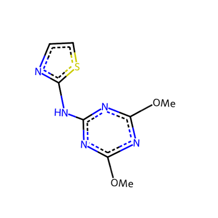 COc1nc(Nc2nccs2)nc(OC)n1